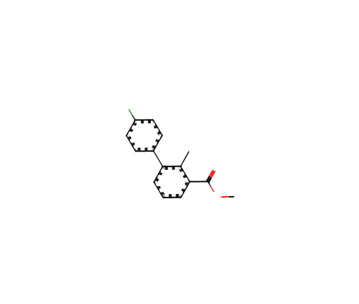 COC(=O)c1cccc(-c2ccc(F)cc2)c1C